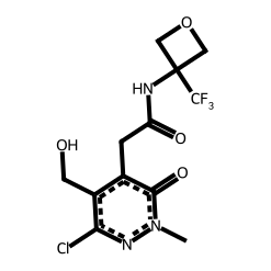 Cn1nc(Cl)c(CO)c(CC(=O)NC2(C(F)(F)F)COC2)c1=O